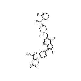 C[C@H]1CN(C(=O)O)[C@H](c2ccc(-n3c(Cl)cc4c(=O)n(CC5(O)CCN(C(=O)c6ccccc6F)CC5)cnc43)cc2)CO1